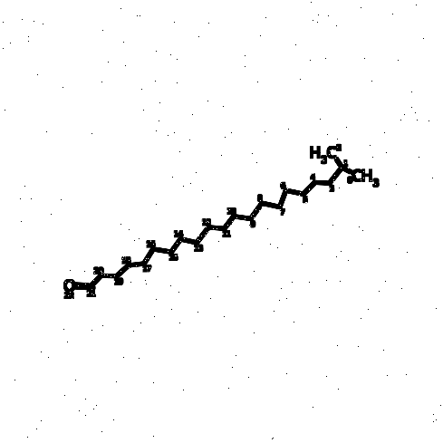 CC(C)CCCCCCCCCCCCCCCCCC[C]=O